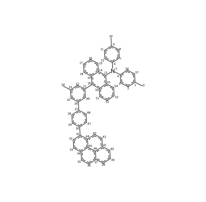 Cc1ccc(N(c2ccc(C)cc2)c2c3ccccc3c(-c3cc(C)cc(-c4ccc(-c5ccc6ccc7cccc8ccc5c6c78)cc4)c3)c3ccccc23)cc1